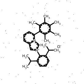 Cc1c(C)c(C)c(-c2cccc3c[n+](-c4c(C(C)C)cccc4C(C)C)cn23)c(C)c1C.[Cl-]